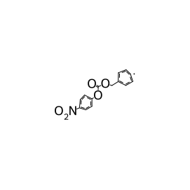 O=C(OCc1cc[c]cc1)Oc1ccc([N+](=O)[O-])cc1